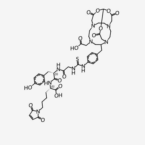 O=C(O)CN1CCN2CCN3CCN(CC(=O)OC(OC(=O)C2)OC(=O)C3)C(Cc2ccc(NC(=S)NCC(=O)N[C@@H](Cc3ccc(O)cc3)C(=O)N[C@@H](CCCCN3C(=O)C=CC3=O)C(=O)O)cc2)C1